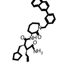 C=CC[C@H](C(N)=O)[C@@H](CC1CCCC1)C(=O)N[C@H]1CCCCN(Cc2cccc(-c3ccc4ccccc4c3)c2)C1=O